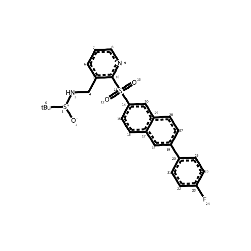 CC(C)(C)[S+]([O-])NCc1cccnc1S(=O)(=O)c1ccc2cc(-c3ccc(F)cc3)ccc2c1